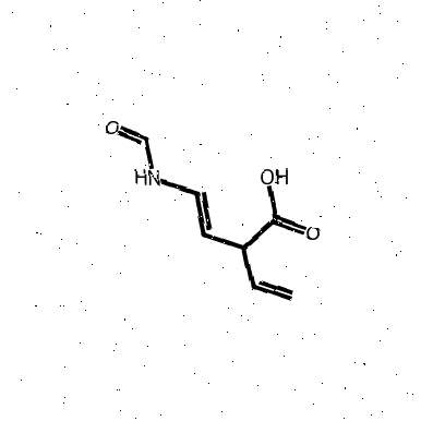 C=CC(C=CNC=O)C(=O)O